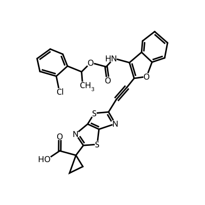 CC(OC(=O)Nc1c(C#Cc2nc3sc(C4(C(=O)O)CC4)nc3s2)oc2ccccc12)c1ccccc1Cl